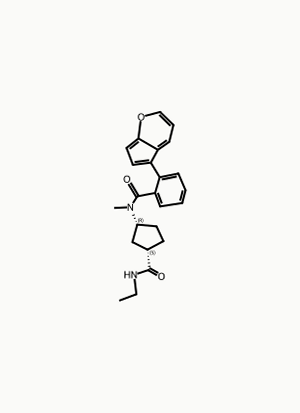 CCNC(=O)[C@H]1CC[C@@H](N(C)C(=O)c2ccccc2-c2ccc3occcc2-3)C1